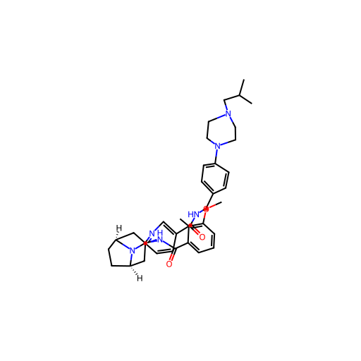 COc1cccc(C(=O)N[C@H]2C[C@H]3CC[C@@H](C2)N3c2ccc(C(=O)NCc3ccc(N4CCN(CC(C)C)CC4)cc3)cn2)c1C